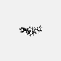 O=c1cc(-c2ccccc2)[nH]c2ccc3nc(-c4ccccc4)[nH]c3c12